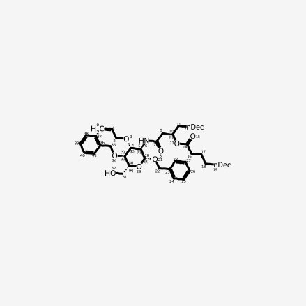 C=CCO[C@@H]1[C@@H](NC(=O)C[C@@H](CCCCCCCCCCC)OC(=O)CCCCCCCCCCCCC)[C@H](OCc2ccccc2)O[C@H](CO)[C@H]1OCc1ccccc1